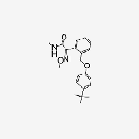 CNC(=O)C(=NOC)c1ccccc1COc1ccc(C(C)(C)C)cc1